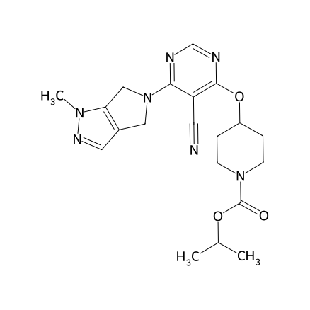 CC(C)OC(=O)N1CCC(Oc2ncnc(N3Cc4cnn(C)c4C3)c2C#N)CC1